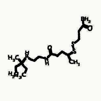 BC(=O)CCSSC(C)CCC(=O)NCCPC(C)(CC)CC